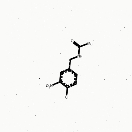 CC(C)(C)C(=O)NCc1ccc(Cl)c([N+](=O)[O-])c1